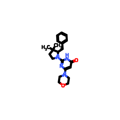 CC1(C)CCN(c2nc(N3CCOCC3)cc(=O)[nH]2)C1Cc1ccccc1